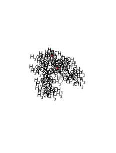 C[SiH](C)CO[Si](CC[Si](C)(C)O[Si](CC[Si](C)(C)O[Si](C)(C)CC[Si](O[Si](C)(C)C)(O[Si](C)(C)CC[Si](OC[SiH](C)C)(O[Si](C)(C)C)O[Si](C)(C)C)O[Si](C)(C)CC[Si](O[Si](C)(C)C)(O[Si](C)(C)C)O[Si](C)(C)C)(O[Si](C)(C)C)O[Si](C)(C)CC[Si](OC[SiH](C)C)(O[Si](C)(C)C)O[Si](C)(C)C)(O[Si](C)(C)C)O[Si](C)(C)C